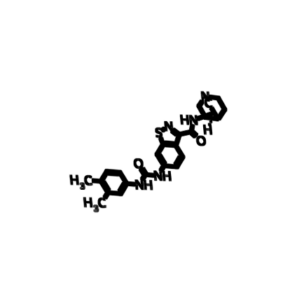 Cc1ccc(NC(=O)Nc2ccc3c(C(=O)N[C@H]4CN5CCC4CC5)nsc3c2)cc1C